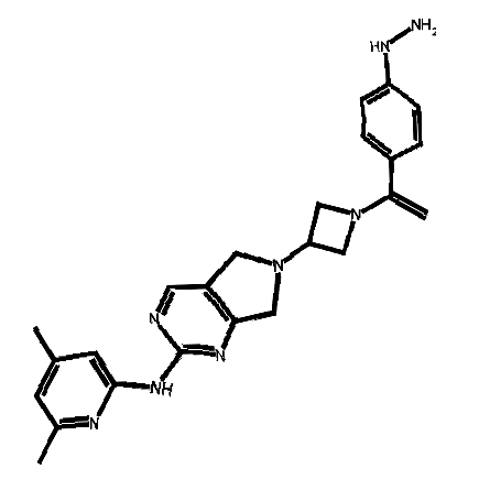 C=C(c1ccc(NN)cc1)N1CC(N2Cc3cnc(Nc4cc(C)cc(C)n4)nc3C2)C1